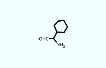 NC([C]=O)C1CCCCC1